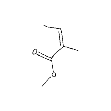 C/C=C(/C)C(=O)OC